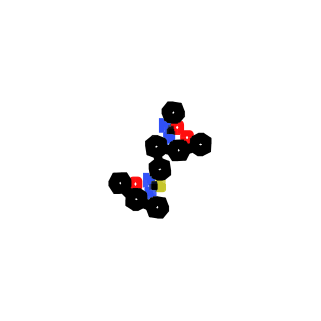 c1ccc2oc(-n3c4cccc(-c5ccc6sc(-n7c8ccccc8c8ccc9c%10ccccc%10oc9c87)nc6c5)c4c4ccc5c6ccccc6oc5c43)nc2c1